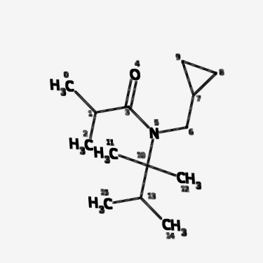 CC(C)C(=O)N(CC1CC1)C(C)(C)C(C)C